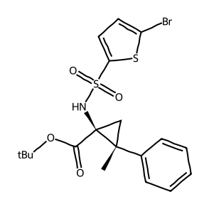 CC(C)(C)OC(=O)[C@]1(NS(=O)(=O)c2ccc(Br)s2)C[C@]1(C)c1ccccc1